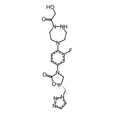 O=C(CO)N1CCN(c2ccc(N3C[C@H](Cn4ccnn4)OC3=O)cc2F)CCN1